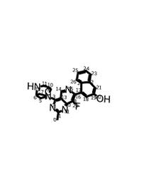 Cc1nc(N2CC3CCCC2CN3)c2cnc(-c3cc(O)cc4ccccc34)c(F)c2n1